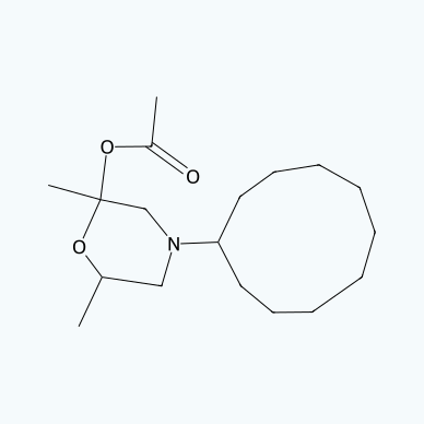 CC(=O)OC1(C)CN(C2CCCCCCCCC2)CC(C)O1